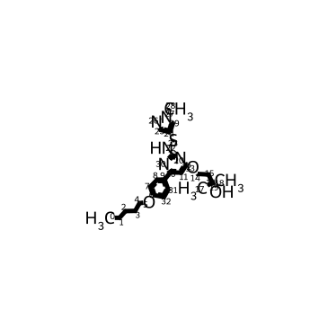 CCCCCOc1ccc(-c2cc(OCCC(C)(C)O)nc(NSc3cnn(C)c3)n2)cc1